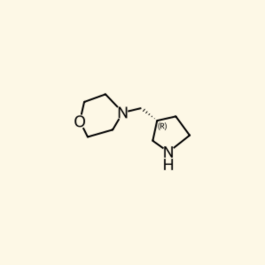 C1C[C@@H](CN2CCOCC2)CN1